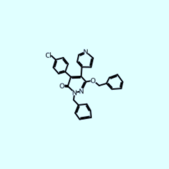 O=c1c(-c2ccc(Cl)cc2)c(-c2ccncc2)c(OCc2ccccc2)nn1Cc1ccccc1